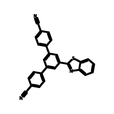 N#Cc1ccc(-c2cc(-c3ccc(C#N)cc3)cc(-c3nc4ccccc4s3)c2)cc1